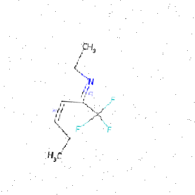 CC/C=C\C(=N/CC)C(F)(F)F